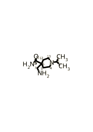 CC(C)N1CCC(CN)(C(N)=O)CC1